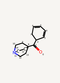 O=C(C1C=CC=CC1)C12CCN(CC1)CC2